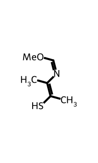 CO/C=N\C(C)=C(/C)S